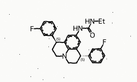 CCNC(=O)Nc1cc2c3c(c1)[C@H](c1cccc(F)c1)CCN3CC[C@H]2c1cccc(F)c1